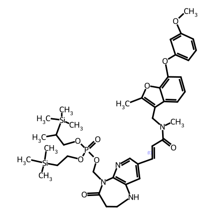 COc1cccc(Oc2cccc3c(CN(C)C(=O)/C=C/c4cnc5c(c4)NCCC(=O)N5COP(=O)(OCC[Si](C)(C)C)OCC(C)[Si](C)(C)C)c(C)oc23)c1